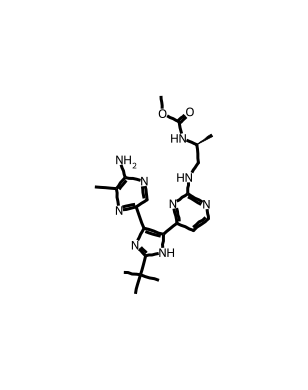 COC(=O)N[C@@H](C)CNc1nccc(-c2[nH]c(C(C)(C)C)nc2-c2cnc(N)c(C)n2)n1